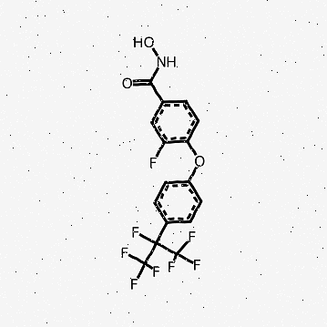 O=C(NO)c1ccc(Oc2ccc(C(F)(C(F)(F)F)C(F)(F)F)cc2)c(F)c1